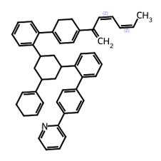 C=C(/C=C\C=C/C)C1=CC=C(c2ccccc2C2CC(C3=CCCC=C3)CC(c3ccccc3-c3ccc(-c4ccccn4)cc3)C2)CC1